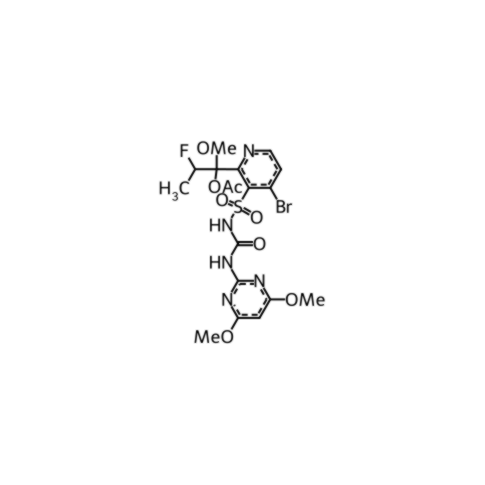 COc1cc(OC)nc(NC(=O)NS(=O)(=O)c2c(Br)ccnc2C(OC)(OC(C)=O)C(C)F)n1